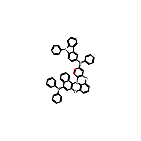 c1ccc(N(c2ccccc2)c2cc3c(c4ccccc24)B2c4c(cccc4Oc4cc(N(c5ccccc5)c5ccc6c(c5)c5ccccc5n6-c5ccccc5)c5ccccc5c42)O3)cc1